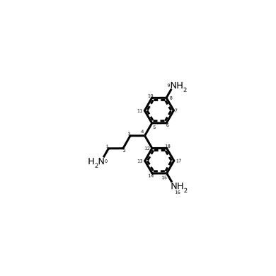 NCCCC(c1ccc(N)cc1)c1ccc(N)cc1